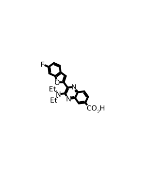 CCN(CC)c1nc2cc(C(=O)O)ccc2nc1-c1cc2ccc(F)cc2o1